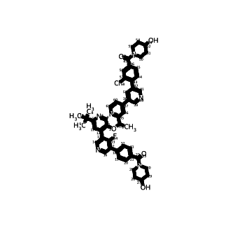 CC(Oc1cnc(C(C)(C)C)cc1-c1cncc(-c2ccc(C(=O)N3CCC(O)CC3)cc2)c1F)c1cc(-c2cncc(-c3ccc(C(=O)N4CCC(O)CC4)cc3Cl)c2)ccn1